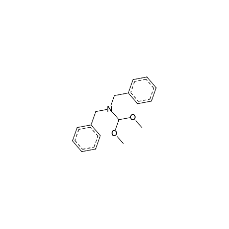 COC(OC)N(Cc1ccccc1)Cc1ccccc1